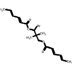 C/C=C/C=C/C(=O)OCC(C)(C)C(OC(=O)/C=C/C=C/C)C(C)C